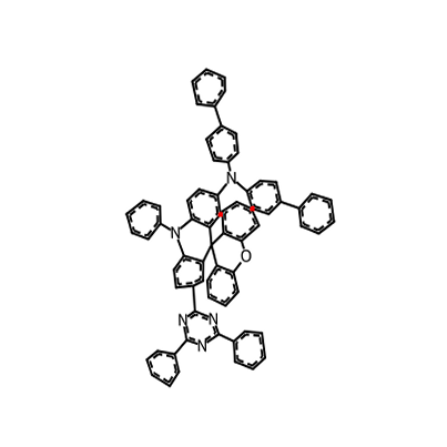 c1ccc(-c2ccc(N(c3ccc(-c4ccccc4)cc3)c3ccc4c(c3)C3(c5ccccc5Oc5ccccc53)c3cc(-c5nc(-c6ccccc6)nc(-c6ccccc6)n5)ccc3N4c3ccccc3)cc2)cc1